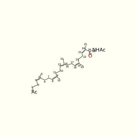 CC(=O)CCC=C(C)CCC=C(C)CCC=C(C)CCC=C(C)CCC=C(C)C(=O)NC(C)=O